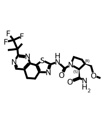 COC[C@@H]1CCN(C(=O)Nc2nc3c(s2)-c2nc(C(C)(C)C(F)(F)F)ncc2CC3)[C@@H]1C(N)=O